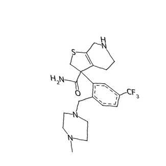 CN1CCN(Cc2ccc(C(F)(F)F)cc2C2(C(N)=O)CSC3=C2CCNC3)CC1